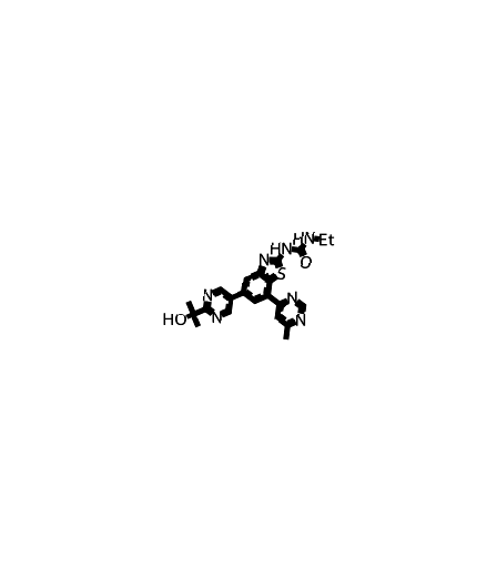 CCNC(=O)Nc1nc2cc(-c3cnc(C(C)(C)O)nc3)cc(-c3cc(C)ncn3)c2s1